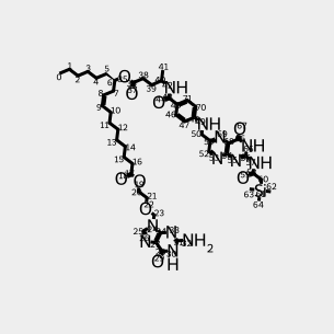 CCCCCC[C@H](C/C=C\CCCCCCCC(=O)OCCOCn1cnc2c(=O)[nH]c(N)nc21)OC(=O)CCC(C)NC(=O)c1ccc(NCc2cnc3nc(NC(=O)C[Si](C)(C)C)[nH]c(=O)c3n2)cc1